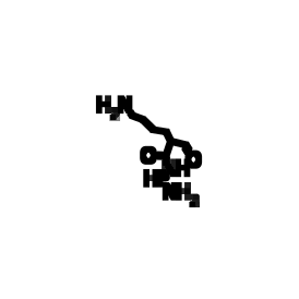 NCCCCC(C=O)C(=O)NPN